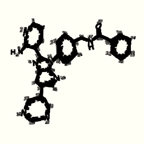 Nc1ncccc1-c1nc2cc(-c3cncnc3)cnc2n1-c1ccc(CNC(=O)c2ccccc2)cc1